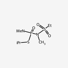 CCS(=O)(=O)N(C)P(=O)(NC)SC(C)C